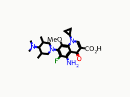 COc1c(N2CC(C)C(N(C)C)C(C)C2)c(F)c(N)c2c(=O)c(C(=O)O)cn(C3CC3)c12